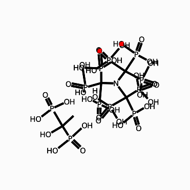 CC(O)(P(=O)(O)O)P(=O)(O)O.O=P(O)(O)C(N(C(P(=O)(O)O)(P(=O)(O)O)P(=O)(O)O)C(P(=O)(O)O)(P(=O)(O)O)P(=O)(O)O)(P(=O)(O)O)P(=O)(O)O